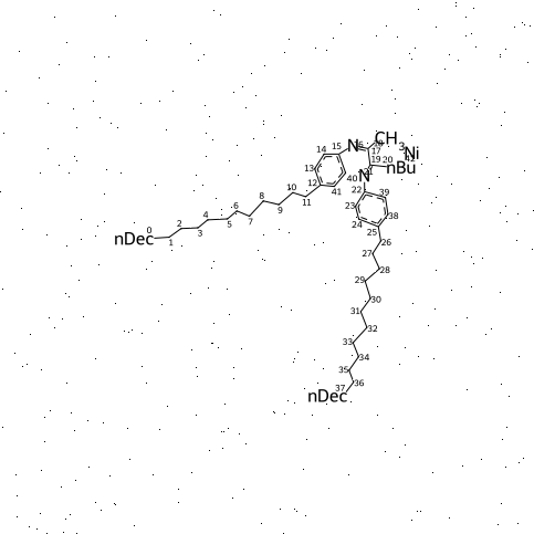 CCCCCCCCCCCCCCCCCCCCCc1ccc(N=C(C)C(CCCC)=Nc2ccc(CCCCCCCCCCCCCCCCCCCCC)cc2)cc1.[Ni]